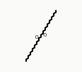 CCCCCCCCCCCCCC(=O)CCC(=O)CCCCCCCCCCCCC